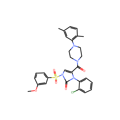 COc1cccc(S(=O)(=O)n2cc(C(=O)N3CCN(c4cc(C)ccc4C)CC3)n(-c3ccccc3Cl)c2=O)c1